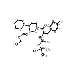 CCOC(=O)[C@@H]1CCCC[C@H]1N1CCN(C(=O)C(Cc2ccc(Cl)cc2)NC(=O)OC(C)(C)C)CC1